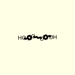 OCc1ccc(OCC=CCOc2ccc(CO)cc2)cc1